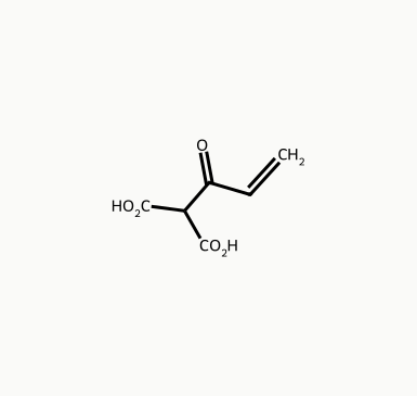 C=CC(=O)C(C(=O)O)C(=O)O